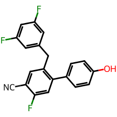 N#Cc1cc(Cc2cc(F)cc(F)c2)c(-c2ccc(O)cc2)cc1F